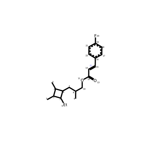 CCC1C(C)C(C)C1CC(C)COC(=O)/C=C/c1ccc(F)cc1